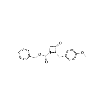 COc1ccc(C[C@H]2C(=O)CN2C(=O)OCc2ccccc2)cc1